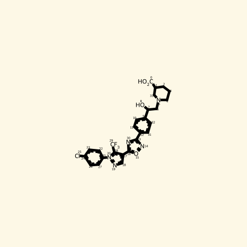 O=C(O)C1CCCN(CC(O)c2ccc(-c3noc(-c4cnn(-c5ccc(Cl)cc5)c4C(F)(F)F)n3)cc2)C1